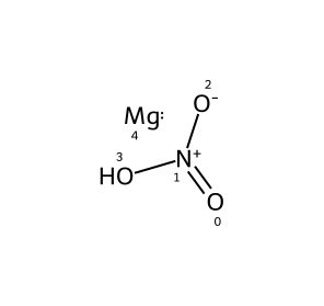 O=[N+]([O-])O.[Mg]